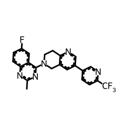 Cc1nc(N2CCc3ncc(-c4ccc(C(F)(F)F)nc4)cc3C2)c2cc(F)ccc2n1